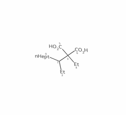 CCCCCCCC(CC)C(CC)(C(=O)O)C(=O)O